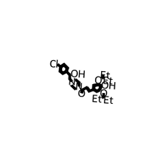 CCC(CC)Oc1cc(C=CC(=O)N2CCN(CC(O)c3ccc(Cl)cc3)CC2)cc(OC(CC)CC)c1O